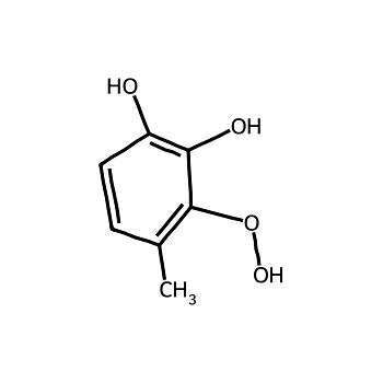 Cc1ccc(O)c(O)c1OO